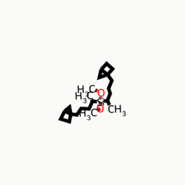 CO[Si](OC)(C(C)CCCC12CCC1C2)C(C)CCCC12CCC1C2